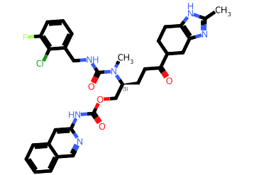 Cc1nc2c([nH]1)CCC(C(=O)CC[C@@H](COC(=O)Nc1cc3ccccc3cn1)N(C)C(=O)NCc1cccc(F)c1Cl)C2